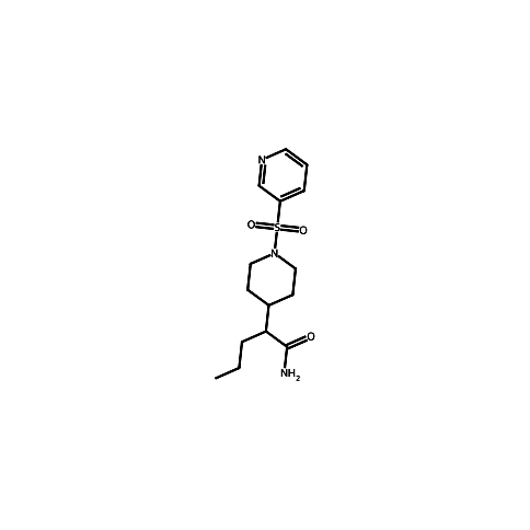 CCCC(C(N)=O)C1CCN(S(=O)(=O)c2cccnc2)CC1